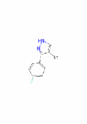 [CH2]Cc1c[nH]nc1-c1ccc(F)cc1